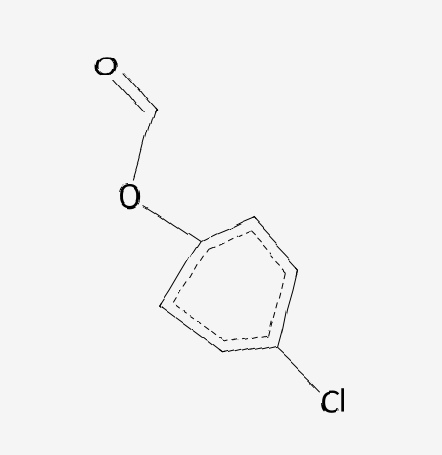 O=COc1ccc(Cl)cc1